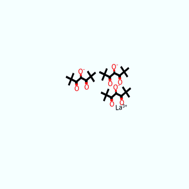 CC(C)(C)C(=O)C([O-])C(=O)C(C)(C)C.CC(C)(C)C(=O)C([O-])C(=O)C(C)(C)C.CC(C)(C)C(=O)C([O-])C(=O)C(C)(C)C.[La+3]